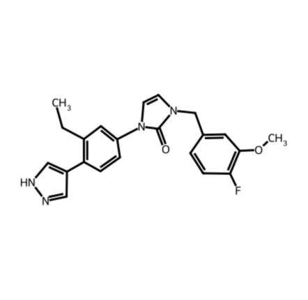 CCc1cc(-n2ccn(Cc3ccc(F)c(OC)c3)c2=O)ccc1-c1cn[nH]c1